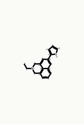 CCN1Cc2cccc3cc(-c4cccs4)cc(c23)C1